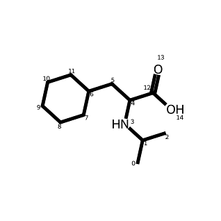 CC(C)NC(CC1CCCCC1)C(=O)O